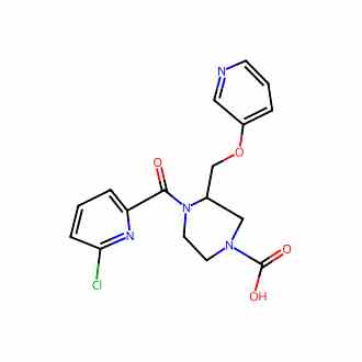 O=C(O)N1CCN(C(=O)c2cccc(Cl)n2)C(COc2cccnc2)C1